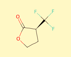 O=C1OCC[C@@H]1C(F)(F)F